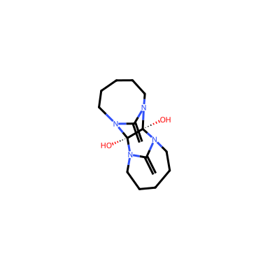 C=C1N2CCCCCN1[C@]1(O)N3CCCCCN(C3=C)[C@]21O